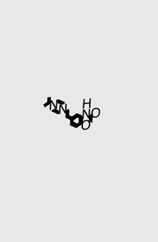 CC(C)N1CCN(CCc2ccc3c(c2)NC(=O)CO3)CC1